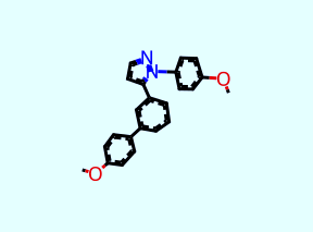 COc1ccc(-c2cccc(-c3ccnn3-c3ccc(OC)cc3)c2)cc1